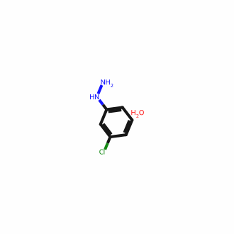 NNc1cccc(Cl)c1.O